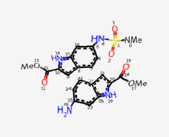 CNS(=O)(=O)Nc1ccc2cc(C(=O)OC)[nH]c2c1.COC(=O)c1cc2ccc(N)cc2[nH]1